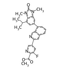 COC(=O)c1ncc(-c2cc3cccc(-c4cc(C(C)C)c5c(c4)n(C)c(=O)n5C)c3cn2)cc1F